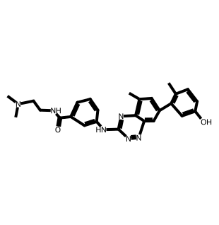 Cc1ccc(O)cc1-c1cc(C)c2nc(Nc3cccc(C(=O)NCCN(C)C)c3)nnc2c1